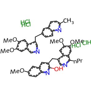 CCCc1ncc(Cc2cc3cc(OC)ccc3nc2O)c2cc(OC)c(OC)cc12.COc1cc2cncc(Cc3ccc4nc(C)ccc4c3)c2cc1OC.Cl.Cl.Cl.Cl